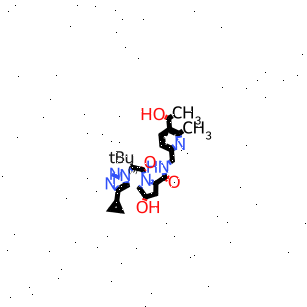 Cc1nc(CNC(=O)C2CC(O)CN2C(=O)[C@@H](n2cc(C3CC3)nn2)C(C)(C)C)ccc1C(C)O